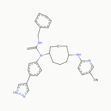 C=C(NCc1ccccc1)N(c1ccc(-c2cn[nH]c2)cc1)C1CCCC(Nc2ccc(C#N)cn2)CCC1